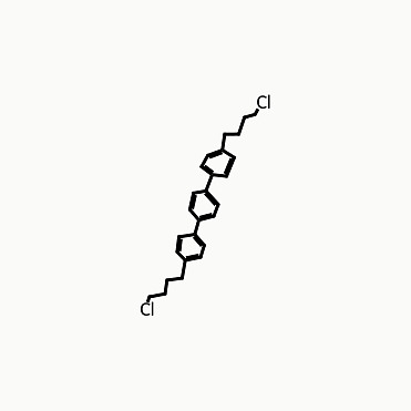 ClCCCCc1ccc(-c2ccc(-c3ccc(CCCCCl)cc3)cc2)cc1